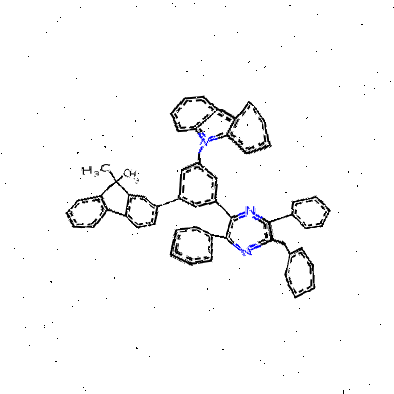 CC1(C)c2ccccc2-c2ccc(-c3cc(-c4nc(-c5ccccc5)c(-c5ccccc5)nc4-c4ccccc4)cc(-n4c5ccccc5c5ccccc54)c3)cc21